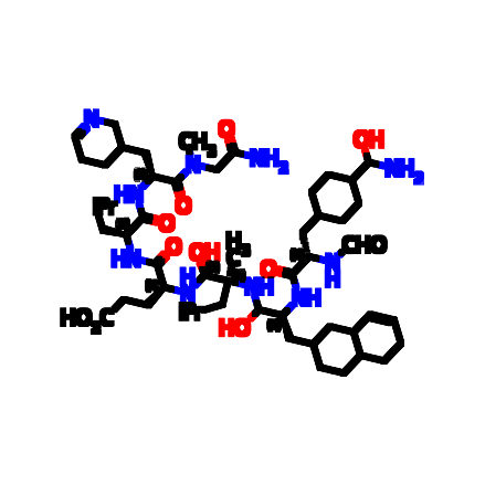 CC(C)C[C@H](NC(=O)[C@H](CCC(=O)O)N[C@@H](O)[C@](C)(CC(C)C)NC(O)[C@H](CC1CCC2CCC=CC2C1)NC(=O)[C@H](CC1CCC(C(N)O)CC1)NC=O)C(=O)N[C@@H](CC1CCC=NC1)C(=O)N(C)CC(N)=O